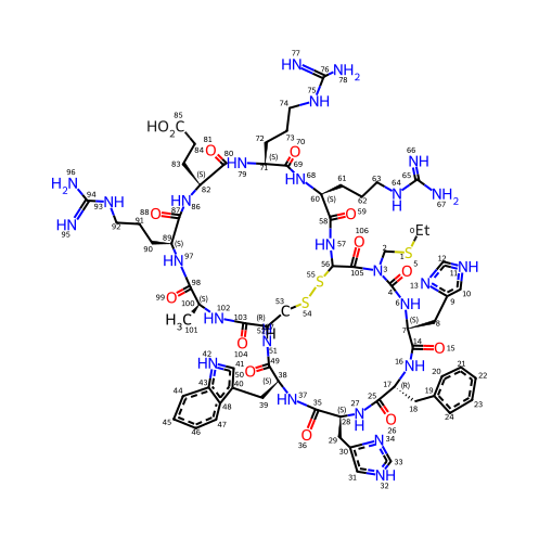 CCSCN1C(=O)N[C@@H](Cc2c[nH]cn2)C(=O)N[C@H](Cc2ccccc2)C(=O)N[C@@H](Cc2c[nH]cn2)C(=O)N[C@@H](Cc2c[nH]c3ccccc23)C(=O)N[C@H]2CSSC(NC(=O)[C@H](CCCNC(=N)N)NC(=O)[C@H](CCCNC(=N)N)NC(=O)[C@H](CCC(=O)O)NC(=O)[C@H](CCCNC(=N)N)NC(=O)[C@H](C)NC2=O)C1=O